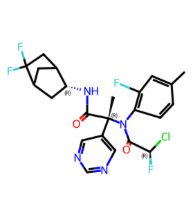 Cc1ccc(N(C(=O)[C@H](F)Cl)[C@@](C)(C(=O)N[C@@H]2CC3CC2CC3(F)F)c2cncnc2)c(F)c1